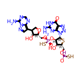 Nc1nc2c(nnn2[C@@H]2S[C@H](CO[PH](=O)S)[C@@H](O)[C@H]2OP(=O)(S)OC[C@H]2OCC(c3cnn4c(N)ncnc34)[C@@H]2O)c(=O)[nH]1